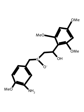 COc1cc(OC)c(C(O)C[S+]([O-])Cc2ccc(OC)c(N)c2)c(OC)c1